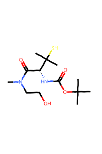 CN(CCO)C(=O)[C@@H](NC(=O)OC(C)(C)C)C(C)(C)S